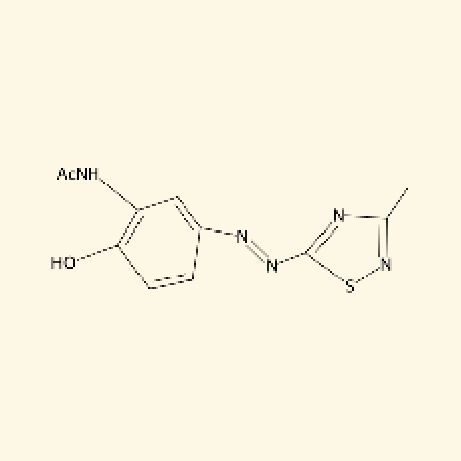 CC(=O)Nc1cc(/N=N/c2nc(C)ns2)ccc1O